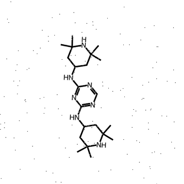 CC1(C)CC(Nc2ncnc(NC3CC(C)(C)NC(C)(C)C3)n2)CC(C)(C)N1